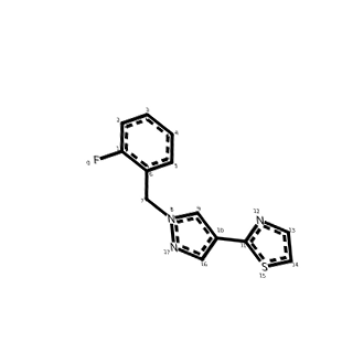 Fc1ccccc1Cn1cc(-c2nccs2)cn1